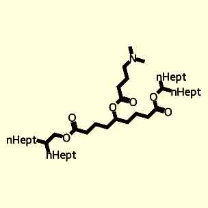 CCCCCCCC(CCCCCCC)COC(=O)CCCC(CCCC(=O)OC(CCCCCCC)CCCCCCC)OC(=O)CCCN(C)C